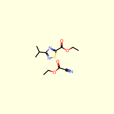 CCOC(=O)C#N.CCOC(=O)c1nc(C(C)C)ns1